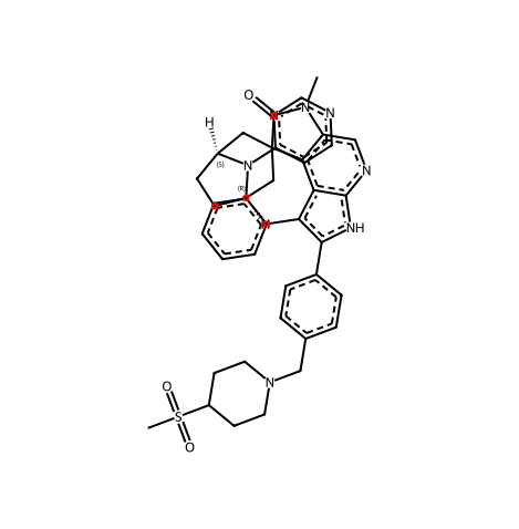 CN1C(=O)C2(C[C@H]3CC[C@@H](C2)N3c2ccncn2)c2c1cnc1[nH]c(-c3ccc(CN4CCC(S(C)(=O)=O)CC4)cc3)c(-c3ccccc3)c21